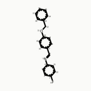 Fc1ccc(N=Cc2ccc(OCc3ccccc3)cc2)cc1